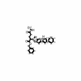 CCNC(=O)CCC(C(=O)OCc1ccccc1)N(C(C)=O)C(C)C.c1c[nH]cn1.c1cc[nH]c1.c1ccncc1